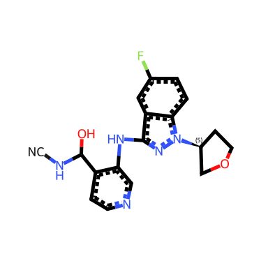 N#CNC(O)c1ccncc1Nc1nn([C@H]2CCOC2)c2ccc(F)cc12